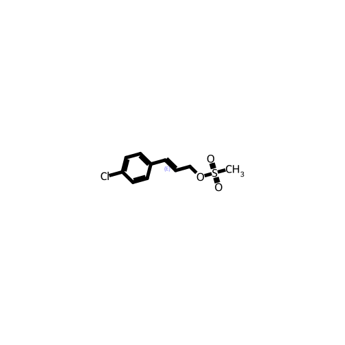 CS(=O)(=O)OC/C=C/c1ccc(Cl)cc1